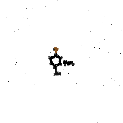 CC(C)(C)c1ccc(Br)cc1.[MgH2]